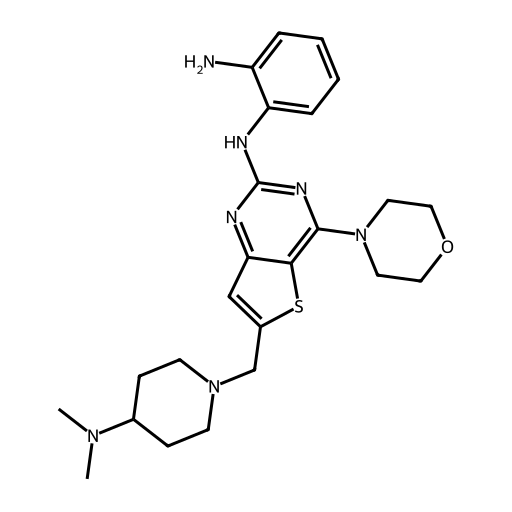 CN(C)C1CCN(Cc2cc3nc(Nc4ccccc4N)nc(N4CCOCC4)c3s2)CC1